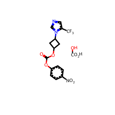 O=C(O)O.O=C(Oc1ccc([N+](=O)[O-])cc1)OC1CC(n2cncc2C(F)(F)F)C1